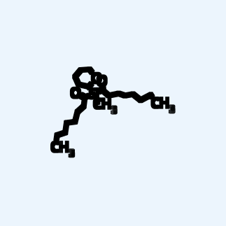 CCCCCCCC(=O)[Si](C)(C(=O)CCCCCCC)C1CCCCO1